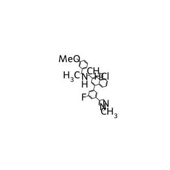 COc1cccc([C@@H](C)NC(C)c2cc(-c3cc(F)cc(-c4cnn(C)c4)c3)c3ccccc3c2)c1.Cl